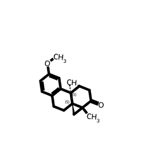 COc1ccc2c(c1)[C@@]1(C)CCC(=O)C3(C)C[C@]31CC2